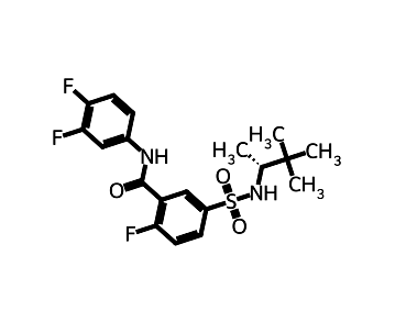 C[C@@H](NS(=O)(=O)c1ccc(F)c(C(=O)Nc2ccc(F)c(F)c2)c1)C(C)(C)C